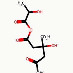 CC(=O)OC(=O)CC(O)(CC(=O)OC(=O)C(C)O)C(=O)O